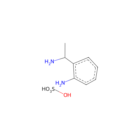 CC(N)c1ccccc1N.O=S(=O)(O)O